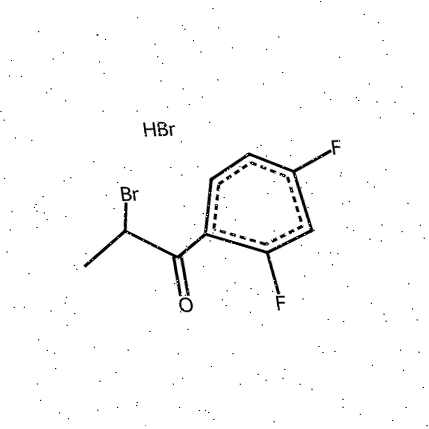 Br.CC(Br)C(=O)c1ccc(F)cc1F